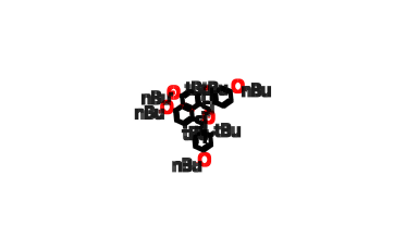 CCCCOc1ccc([SiH](O[SiH](c2ccc(OCCCC)cc2C(C)(C)C)c2ccc(OCCCC)cc2C(C)(C)C)c2ccc(OCCCC)cc2C(C)(C)C)c(C(C)(C)C)c1